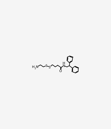 NCCSSCCCC(=O)NCC(c1ccccc1)c1ccccc1